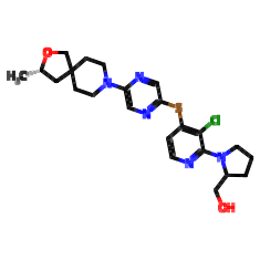 C[C@H]1CC2(CCN(c3cnc(Sc4ccnc(N5CCCC5CO)c4Cl)cn3)CC2)CO1